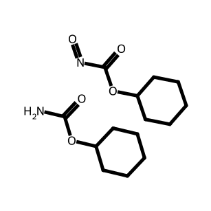 NC(=O)OC1CCCCC1.O=NC(=O)OC1CCCCC1